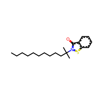 CCCCCCCCCCC(C)(C)n1sc2ccccc2c1=O